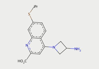 CC(C)Sc1ccc2c(N3CC(N)C3)cc(C(=O)O)nc2c1